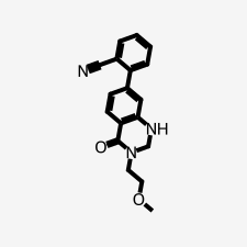 COCCN1CNc2cc(-c3ccccc3C#N)ccc2C1=O